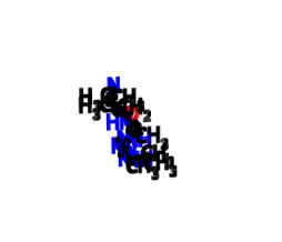 C=C(/C=C\C=C(/C)C(C)(C)C#N)C(=O)Nc1ccc(C)c(Nc2ncnc3cnc(N(C)CCN(C)C)nc23)c1